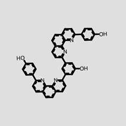 Oc1ccc(-c2ccc3ccc4ccc(-c5cc(O)cc(-c6ccc7ccc8ccc(-c9ccc(O)cc9)nc8c7n6)c5)nc4c3n2)cc1